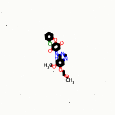 COCCOc1cc2ncnc(NC3=CC(=O)C(Oc4ccccc4Cl)=CC3=O)c2cc1OC